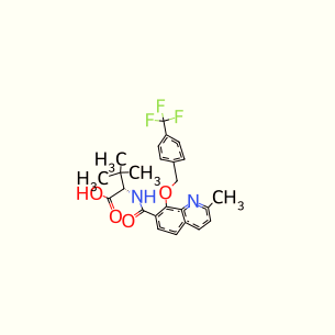 Cc1ccc2ccc(C(=O)N[C@H](C(=O)O)C(C)(C)C)c(OCc3ccc(C(F)(F)F)cc3)c2n1